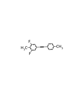 Cc1ccc(C#Cc2cc(F)c(C)c(F)c2)cc1